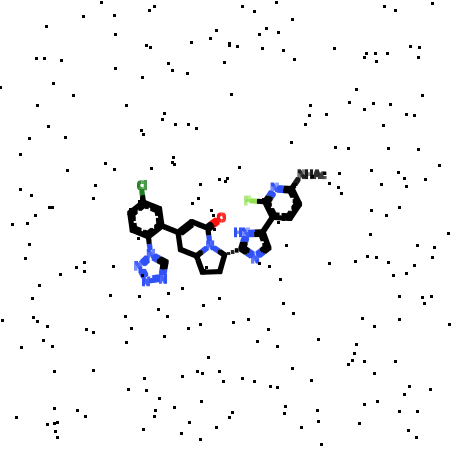 CC(=O)Nc1ccc(-c2cnc([C@@H]3CCC4CC(c5cc(Cl)ccc5-n5cnnn5)=CC(=O)N43)[nH]2)c(F)n1